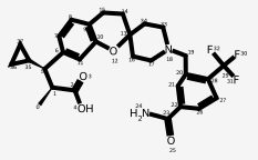 C[C@H](C(=O)O)[C@H](c1ccc2c(c1)OC1(CC2)CCN(Cc2cc(C(N)=O)ccc2C(F)(F)F)CC1)C1CC1